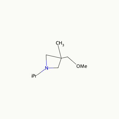 COCC1(C)CN(C(C)C)C1